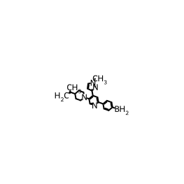 Bc1ccc(-c2cc(-c3ccn(C)n3)c(N3CCC(C(=C)C)CC3)cn2)cc1